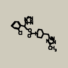 Cc1nnn(CC2CCN(C(=O)OCC(c3ccccc3Cl)n3ncnn3)CC2)n1